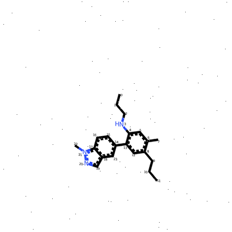 CCCNc1cc(C)c(CCC)cc1-c1ccc2c(cnn2C)c1